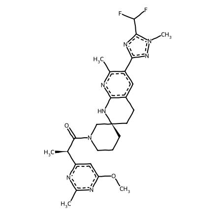 COc1cc([C@@H](C)C(=O)N2CCC[C@@]3(CCc4cc(-c5nc(C(F)F)n(C)n5)c(C)nc4N3)C2)nc(C)n1